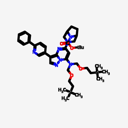 CC(C)(C)OC(=O)N1C2CCC1CN(c1cc(N(COCC[Si](C)(C)C)COCC[Si](C)(C)C)n3ncc(-c4ccc(-c5ccccc5)nc4)c3n1)C2